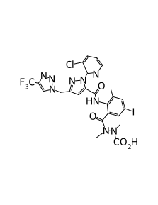 Cc1cc(I)cc(C(=O)N(C)N(C)C(=O)O)c1NC(=O)c1cc(Cn2cc(C(F)(F)F)nn2)nn1-c1ncccc1Cl